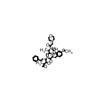 COc1ccc(C[C@H](NC(=O)[C@H](C)NC(=O)CN2CCOCC2)C(=O)N[C@@H](CCc2ccccc2)C(=O)[C@@]2(C)CO2)c(OC)c1